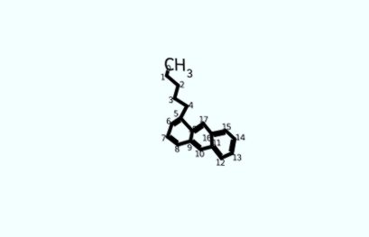 CCCCCc1cccc2cc3ccccc3cc12